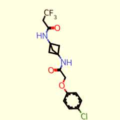 O=C(COc1ccc(Cl)cc1)NC12CC(NC(=O)CC(F)(F)F)(C1)C2